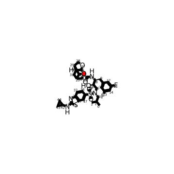 CC(C)CN(C[C@@H](O)[C@H](Cc1cc(F)cc(F)c1)NC(=O)OC1C2COC3OCC1[C@@H]3C2)S(=O)(=O)c1ccc2nc(NC3CC3)sc2c1